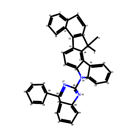 CC1(C)c2ccc3ccccc3c2-c2ccc3c(c21)c1ccccc1n3-c1nc(-c2ccccc2)c2ccccc2n1